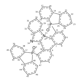 O=P1(c2cccc3c4cccc(P5(=O)c6ccccc6-c6ccccc65)c4n4c5ccccc5nc4c23)c2ccccc2-c2ccccc21